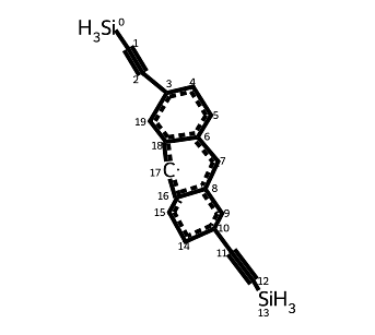 [SiH3]C#Cc1ccc2[c]c3cc(C#C[SiH3])ccc3[c]c2c1